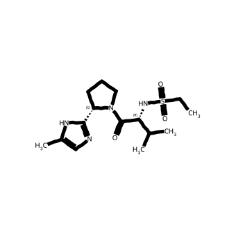 CCS(=O)(=O)N[C@@H](C(=O)N1CCC[C@H]1c1ncc(C)[nH]1)C(C)C